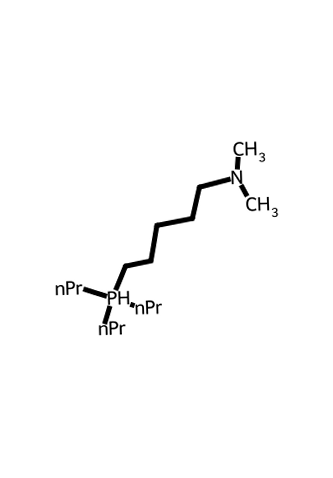 CCC[PH](CCC)(CCC)CCCCCN(C)C